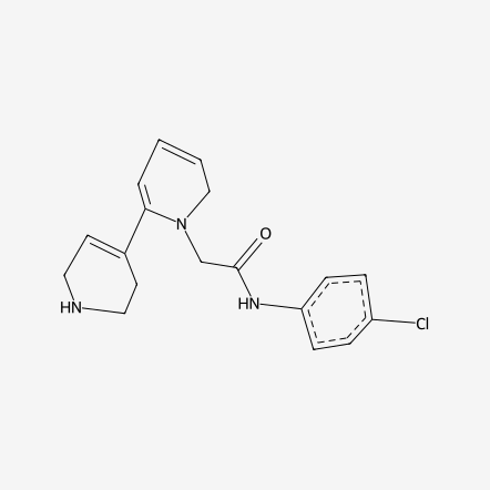 O=C(CN1CC=CC=C1C1=CCNCC1)Nc1ccc(Cl)cc1